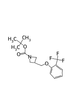 CC(C)(C)OC(=O)N1CC(COc2ccccc2C(F)(F)F)C1